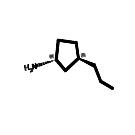 CCC[C@@H]1CC[C@@H](N)C1